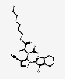 CCCOCCCNC(=O)C(C)N(C(C)=O)c1c(C#N)cnn1-c1nn2c(c1Cl)CCCC2